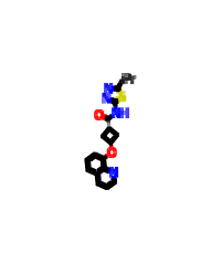 CC(C)c1nnc(NC(=O)[C@H]2C[C@H](Oc3cccc4cccnc34)C2)s1